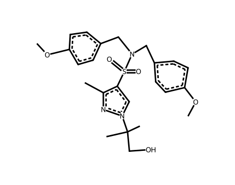 COc1ccc(CN(Cc2ccc(OC)cc2)S(=O)(=O)c2cn(C(C)(C)CO)nc2C)cc1